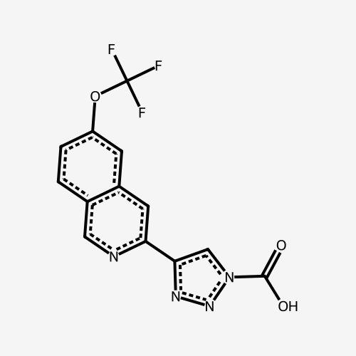 O=C(O)n1cc(-c2cc3cc(OC(F)(F)F)ccc3cn2)nn1